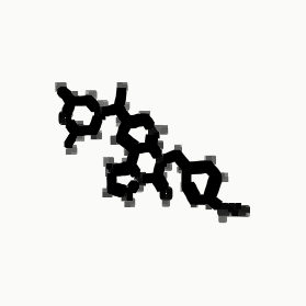 COc1ccc(Cn2c(=O)n3ncnc3c3cc(C(C)N4CC(C)O[C@H](C)C4)cnc32)cc1